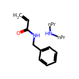 C=CC(=O)NCc1ccccc1.CCCNCCC